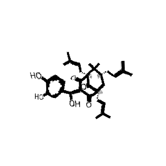 CC(C)=CC[C@@H]1C[C@@]2(CC=C(C)C)C(=O)C(=C(O)c3ccc(O)c(O)c3)C(=O)[C@](CC=C(C)C)(C2=O)C1(C)C